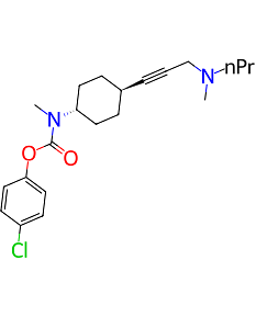 CCCN(C)CC#C[C@H]1CC[C@H](N(C)C(=O)Oc2ccc(Cl)cc2)CC1